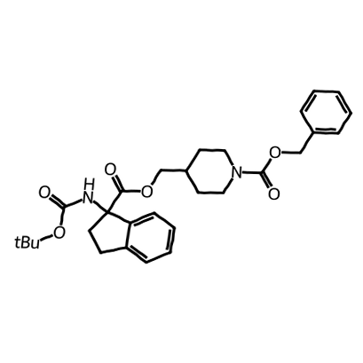 CC(C)(C)OC(=O)NC1(C(=O)OCC2CCN(C(=O)OCc3ccccc3)CC2)CCc2ccccc21